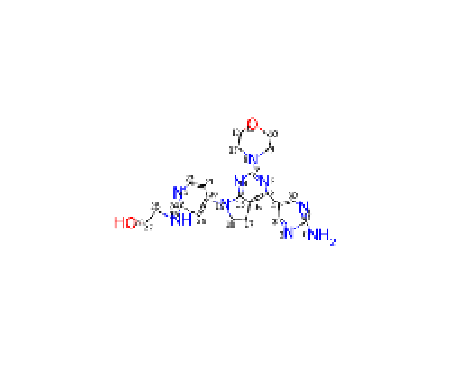 Nc1ncc(-c2nc(N3CCOCC3)nc3c2CCN3c2ccnc(NCCO)c2)cn1